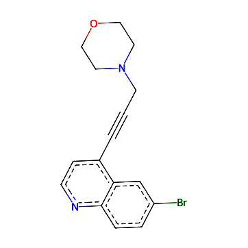 Brc1ccc2nccc(C#CCN3CCOCC3)c2c1